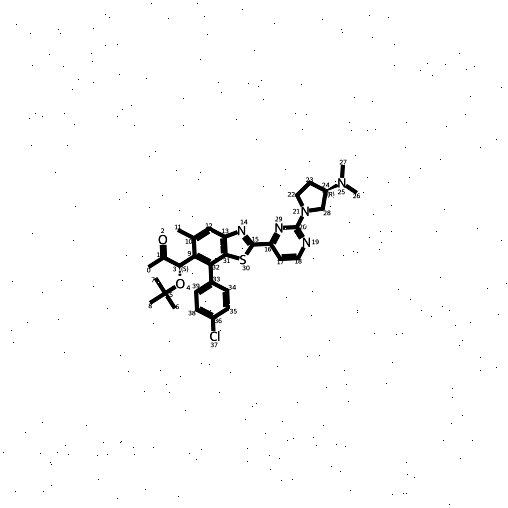 CC(=O)[C@@H](OC(C)(C)C)c1c(C)cc2nc(-c3ccnc(N4CC[C@@H](N(C)C)C4)n3)sc2c1-c1ccc(Cl)cc1